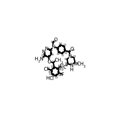 CC(Oc1cc(N(C=O)c2ccc(C(=O)N3C[C@@H](C)N[C@@H](C)C3)cc2)nnc1N)c1c(Cl)ccc(F)c1Cl.Cl